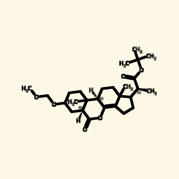 COCOC1CCC2(C)[C@H](C1)C(=O)OC1=C3CCC([C@H](C)C(=O)OC(C)(C)C)C3(C)CC[C@@H]12